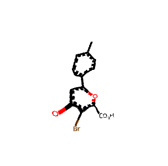 Cc1ccc(-c2cc(=O)c(Br)c(C(=O)O)o2)cc1